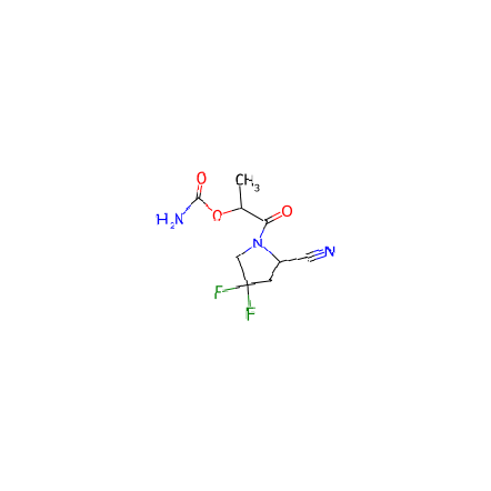 CC(OC(N)=O)C(=O)N1CC(F)(F)CC1C#N